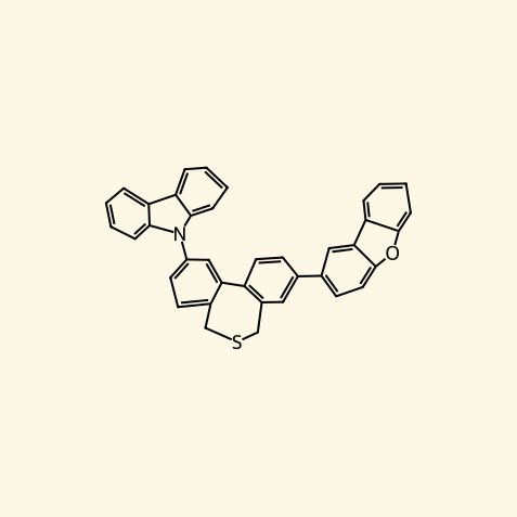 c1ccc2c(c1)oc1ccc(-c3ccc4c(c3)CSCc3ccc(-n5c6ccccc6c6ccccc65)cc3-4)cc12